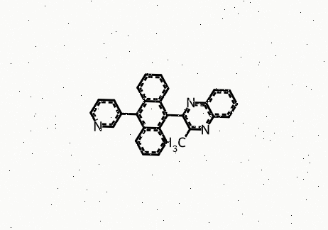 Cc1nc2ccccc2nc1-c1c2ccccc2c(-c2cccnc2)c2ccccc12